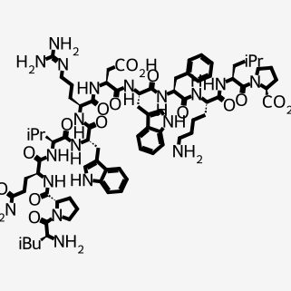 CCC(C)[C@H](N)C(=O)N1CCC[C@H]1C(=O)N[C@@H](CCC(N)=O)C(=O)N[C@H](C(=O)N[C@@H](Cc1c[nH]c2ccccc12)C(=O)N[C@@H](CCCN=C(N)N)C(=O)N[C@@H](CC(=O)O)C(=O)N[C@@H](Cc1c[nH]c2ccccc12)C(=O)N[C@@H](Cc1ccccc1)C(=O)N[C@@H](CCCCN)C(=O)N[C@@H](CC(C)C)C(=O)N1CCC[C@H]1C(=O)O)C(C)C